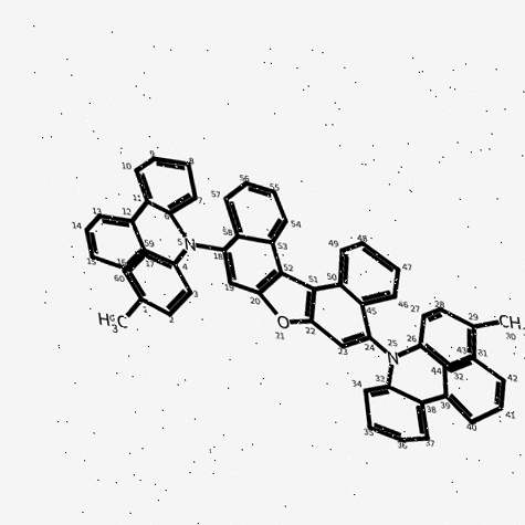 Cc1ccc(N(c2ccccc2-c2ccccc2)c2cc3oc4cc(N(c5ccc(C)cc5)c5ccccc5-c5ccccc5)c5ccccc5c4c3c3ccccc23)cc1